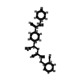 NC(CC(=O)NCc1ccccc1F)c1ccc(C(=O)Nc2ccncc2)cc1